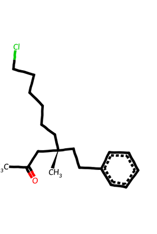 CC(=O)C[C@](C)(CCCCCCCl)CCc1ccccc1